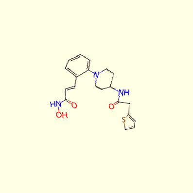 O=C(C=Cc1ccccc1N1CCC(NC(=O)Cc2cccs2)CC1)NO